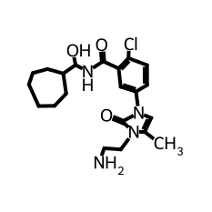 Cc1cn(-c2ccc(Cl)c(C(=O)NC(O)C3CCCCCC3)c2)c(=O)n1CCN